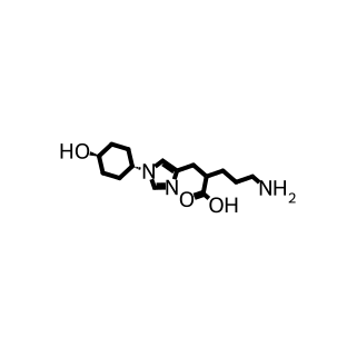 NCCCC(Cc1cn([C@H]2CC[C@H](O)CC2)cn1)C(=O)O